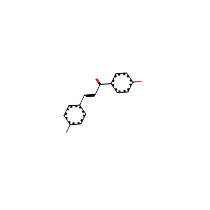 CC(C)c1ccc(C=CC(=O)c2ccc(O)cc2)cc1